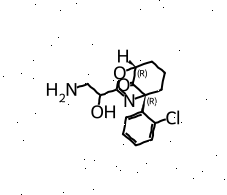 NCC(O)C1=N[C@@]2(c3ccccc3Cl)CCC[C@@H](O1)C2=O